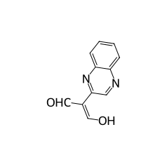 O=C/C(=C/O)c1cnc2ccccc2n1